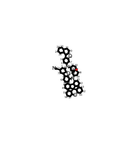 N#Cc1cc(N(c2ccccc2)c2ccc3c(c2)oc2ccc4ccccc4c23)c2oc3c(N(c4ccccc4)c4cccc5c4-c4ccccc4C54c5ccccc5Oc5ccccc54)cccc3c2c1